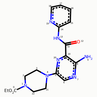 CCOC(=O)N1CCN(c2cnc(N)c(C(=O)Nc3ccccn3)n2)CC1